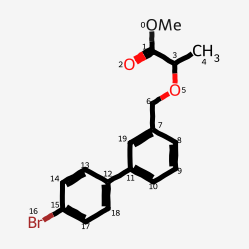 COC(=O)C(C)OCc1cccc(-c2ccc(Br)cc2)c1